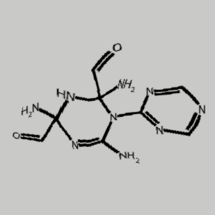 NC1=NC(N)(C=O)NC(N)(C=O)N1c1ncncn1